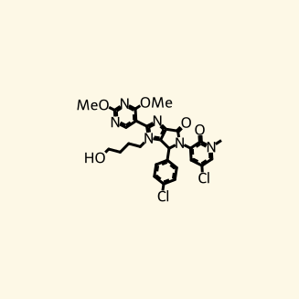 COc1ncc(-c2nc3c(n2CCCCO)C(c2ccc(Cl)cc2)N(c2cc(Cl)cn(C)c2=O)C3=O)c(OC)n1